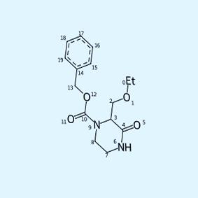 CCOCC1C(=O)NCCN1C(=O)OCc1ccccc1